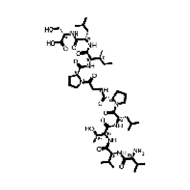 CC[C@H](C)[C@H](NC(=O)[C@@H]1CCCN1C(=O)CNC(=O)[C@@H]1CCCN1C(=O)[C@H](CC(C)C)NC(=O)[C@@H](NC(=O)[C@@H](NC(=O)[C@@H](N)C(C)C)C(C)C)[C@@H](C)O)C(=O)N[C@@H](CC(C)C)C(=O)N[C@@H](CO)C(=O)O